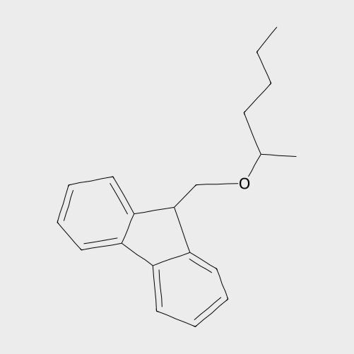 CCCCC(C)OCC1c2ccccc2-c2ccccc21